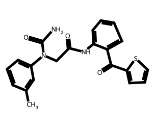 Cc1cccc(N(CC(=O)Nc2ccccc2C(=O)c2cccs2)C(N)=O)c1